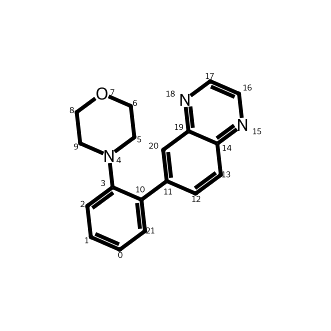 c1ccc(N2CCOCC2)c(-c2ccc3nccnc3c2)c1